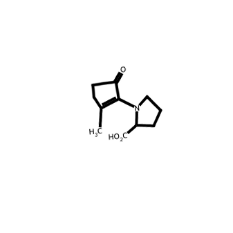 CC1=C(N2CCCC2C(=O)O)C(=O)CC1